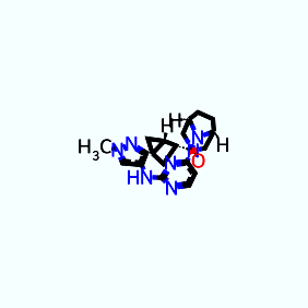 Cn1cc(Nc2nccc(N3C[C@H]4CC[C@@H](C3)N4C(=O)[C@@H]3CC4C[C@@H]43)n2)cn1